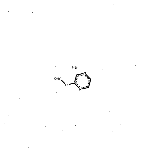 Br.O=COc1cnccn1